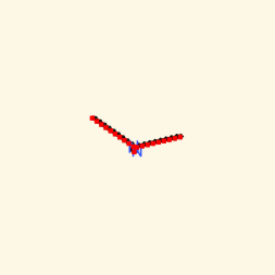 CCCCCCCCCCCCCCCCCCn1ccnc1CCCCCCCCCCCCCCCCC